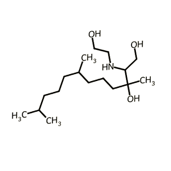 CC(C)CCCC(C)CCCC(C)(O)C(CO)NCCO